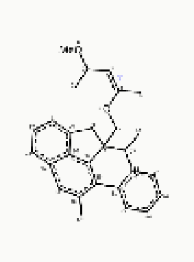 COC(C)/C=C(/C)OCC12Cc3cccc4cc(C)c(c1c34)-c1cccc[n+]1C2C